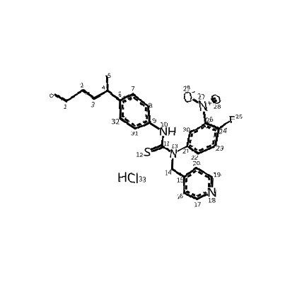 CCCCC(C)c1ccc(NC(=S)N(Cc2ccncc2)c2ccc(F)c([N+](=O)[O-])c2)cc1.Cl